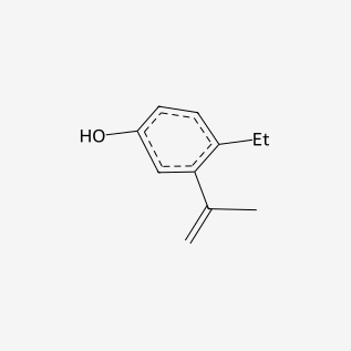 C=C(C)c1cc(O)ccc1CC